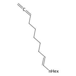 C=C=CCCCCCC=CCCCCCC